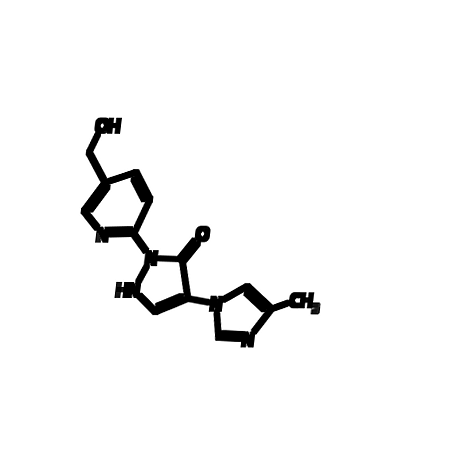 Cc1cn(-c2c[nH]n(-c3ccc(CO)cn3)c2=O)cn1